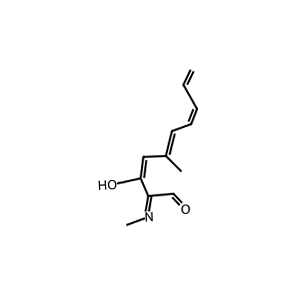 C=C\C=C/C=C(C)/C=C(O)\C(C=O)=N/C